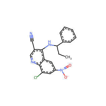 CCC(Nc1c(C#N)cnc2c(Cl)cc([N+](=O)[O-])cc12)c1ccccc1